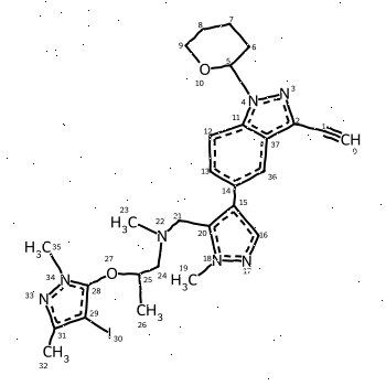 C#Cc1nn(C2CCCCO2)c2ccc(-c3cnn(C)c3CN(C)CC(C)Oc3c(I)c(C)nn3C)cc12